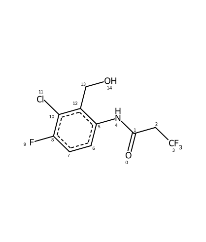 O=C(CC(F)(F)F)Nc1ccc(F)c(Cl)c1CO